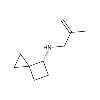 C=C(C)CN[C@@H]1CCC12CC2